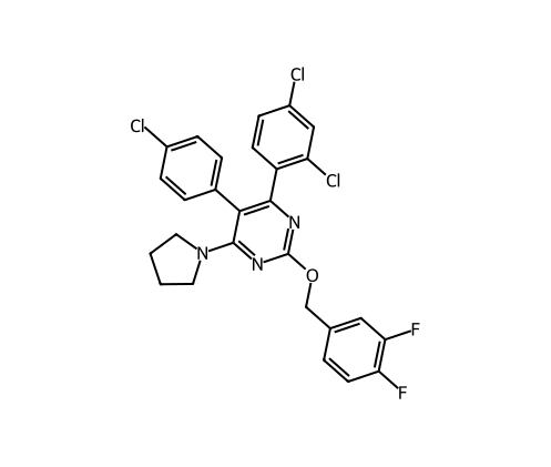 Fc1ccc(COc2nc(-c3ccc(Cl)cc3Cl)c(-c3ccc(Cl)cc3)c(N3CCCC3)n2)cc1F